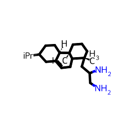 CC(C)C1CC[C@@H]2C(=CCC3[C@@](C)(CC(N)CN)CCC[C@@]32C)C1